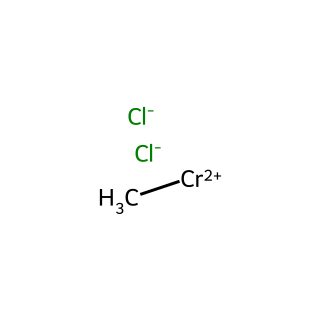 [CH3][Cr+2].[Cl-].[Cl-]